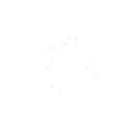 CN1CCCC(NS(=O)(=O)c2ccc(-c3cccc4sc(N)nc34)c(-c3nnn[nH]3)c2S(N)(=O)=O)C1